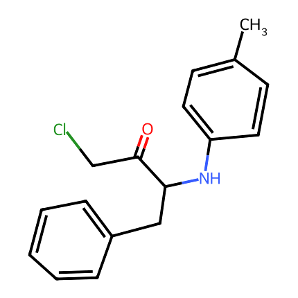 Cc1ccc(NC(Cc2ccccc2)C(=O)CCl)cc1